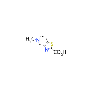 CN1CCc2sc(C(=O)O)nc2C1